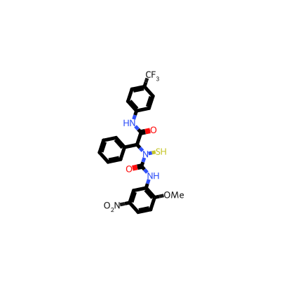 COc1ccc([N+](=O)[O-])cc1NC(=O)N(S)C(C(=O)Nc1ccc(C(F)(F)F)cc1)c1ccccc1